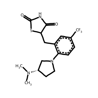 CN(C)[C@H]1CCN(c2ccc(C(F)(F)F)cc2CC2SC(=O)NC2=O)C1